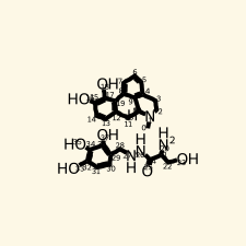 CN1CCc2cccc3c2[C@H]1Cc1ccc(O)c(O)c1-3.NC(CO)C(=O)NNCc1ccc(O)c(O)c1O